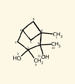 CC1(O)CC2CC(C)(C2)C1(C)O